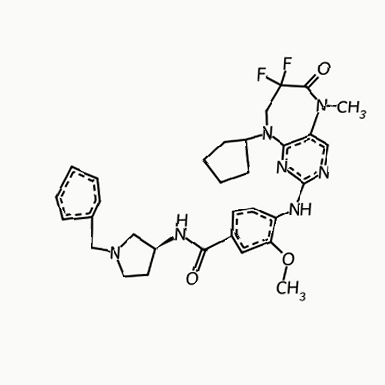 COc1cc(C(=O)N[C@H]2CCN(Cc3ccccc3)C2)ccc1Nc1ncc2c(n1)N(C1CCCC1)CC(F)(F)C(=O)N2C